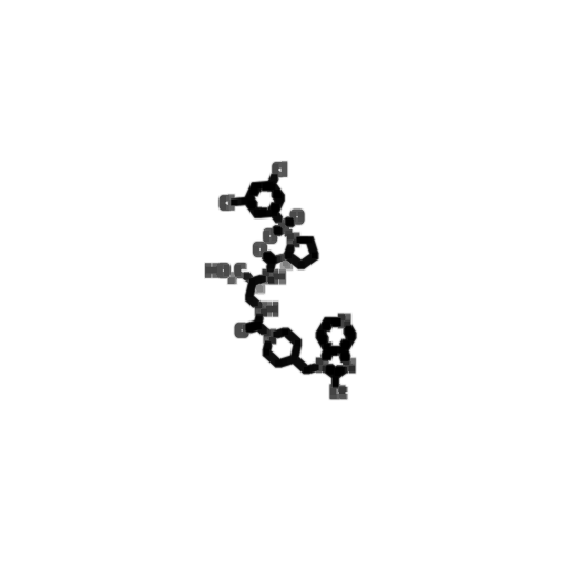 CCc1nc2cnccc2n1CC1CCN(C(=O)NC[C@H](NC(=O)[C@@H]2CCCN2S(=O)(=O)c2cc(Cl)cc(Cl)c2)C(=O)O)CC1